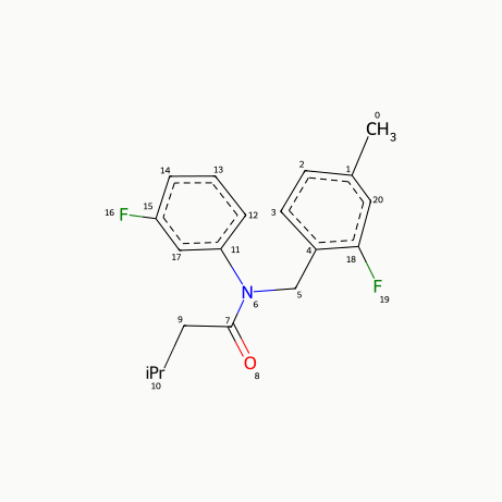 Cc1ccc(CN(C(=O)CC(C)C)c2cccc(F)c2)c(F)c1